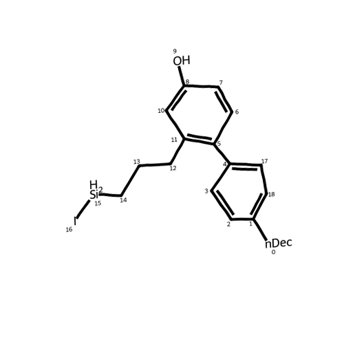 CCCCCCCCCCc1ccc(-c2ccc(O)cc2CCC[SiH2]I)cc1